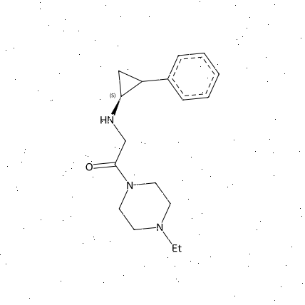 CCN1CCN(C(=O)CN[C@H]2CC2c2ccccc2)CC1